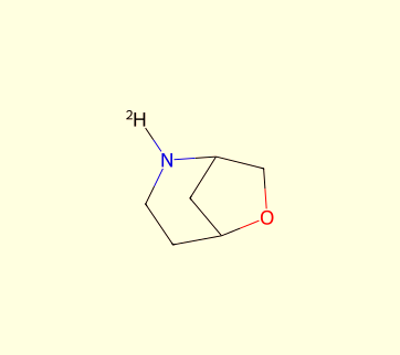 [2H]N1CCC2CC1CO2